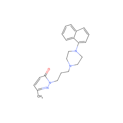 Cc1ccc(=O)n(CCCN2CCN(c3cccc4ccccc34)CC2)n1